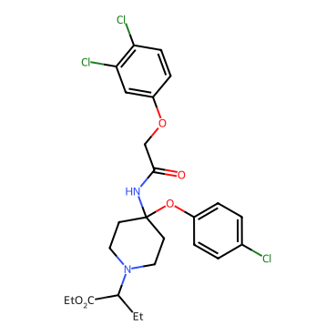 CCOC(=O)C(CC)N1CCC(NC(=O)COc2ccc(Cl)c(Cl)c2)(Oc2ccc(Cl)cc2)CC1